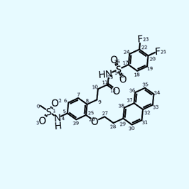 CS(=O)(=O)Nc1ccc(CCC(=O)NS(=O)(=O)c2ccc(F)c(F)c2)c(OCCc2ccc3ccccc3c2)c1